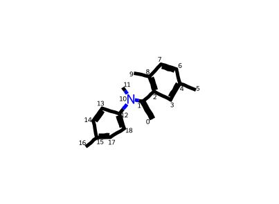 C=C(c1cc(C)ccc1C)N(C)c1ccc(C)cc1